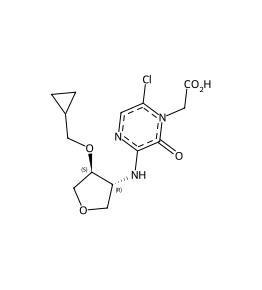 O=C(O)Cn1c(Cl)cnc(N[C@@H]2COC[C@H]2OCC2CC2)c1=O